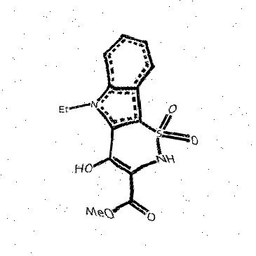 CCn1c2c(c3ccccc31)S(=O)(=O)NC(C(=O)OC)=C2O